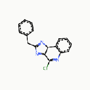 ClC1=Nc2ccccc2C2N=C(Cc3ccccc3)N=C12